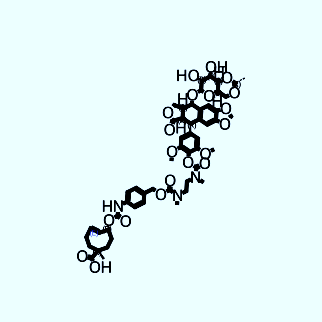 COc1cc([C@@H]2c3cc4c(cc3C(OC3O[C@@H]5CO[C@@H](C)O[C@H]5[C@H](O)[C@H]3O)[C@H]3COC(=O)[C@H]23)OCO4)cc(OC)c1OC(=O)N(C)CCN(C)C(=O)OCc1ccc(NC(=O)O[C@H]2/C=C/CC[C@@](C)(C(=O)O)CC2)cc1